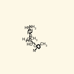 Cc1ccc(C#N)c(OCC(O)CNC(C)(C)COc2cnc(NN)cn2)c1